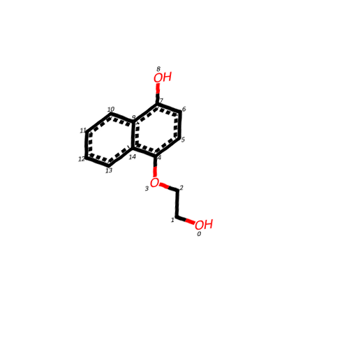 OCCOc1ccc(O)c2ccccc12